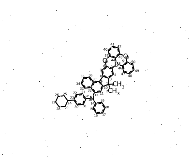 CC1(C)c2cc3c(cc2-c2c1cc(N(c1ccccc1)c1ccc(C4CCCCC4)cc1)c1ccccc21)Oc1cccc2c1B3c1ccccc1O2